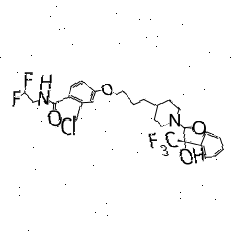 O=C(NCC(F)F)c1ccc(OCCCCC2CCN(C(=O)[C@@](O)(c3ccccc3)C(F)(F)F)CC2)cc1Cl